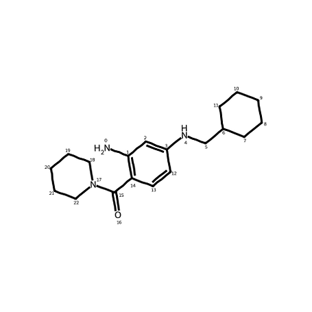 Nc1cc(NCC2CCCCC2)ccc1C(=O)N1CCCCC1